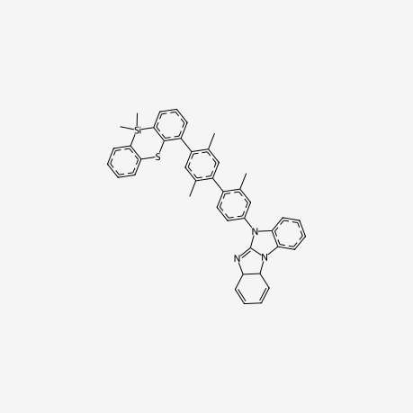 Cc1cc(N2C3=NC4C=CC=CC4N3c3ccccc32)ccc1-c1cc(C)c(-c2cccc3c2Sc2ccccc2[Si]3(C)C)cc1C